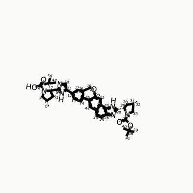 C[C@@H]1CN(C(=O)O)[C@](c2ncc(-c3ccc4c(c3)COc3cc5c(ccc6nc([C@@H]7C[C@H](C)CN7C(=O)OC(C)(C)C)[nH]c65)cc3-4)[nH]2)(C(C)(C)C)C1